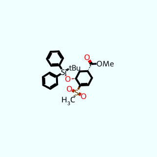 COC(=O)[C@@H]1CC=C(S(C)(=O)=O)[C@H](O[Si](c2ccccc2)(c2ccccc2)C(C)(C)C)C1